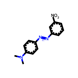 CN(C)c1ccc(/N=N/c2cccc([N+](=O)[O-])c2)cc1